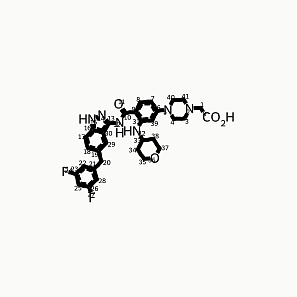 O=C(O)CN1CCN(c2ccc(C(=O)Nc3n[nH]c4ccc(Cc5cc(F)cc(F)c5)cc34)c(NC3CCOCC3)c2)CC1